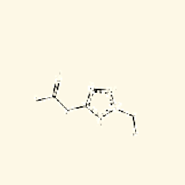 CCn1nnc(CC(C)=O)n1